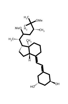 COC(C[C@@H](C)C(C)(C)OC)[C@@H](C)[C@H]1CC[C@H]2/C(=C/C=C3C[C@@H](O)C[C@H](O)C3)CCC[C@]12C